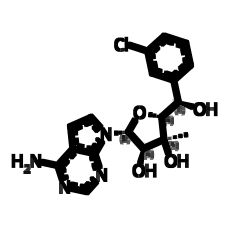 C[C@@]1(O)[C@@H]([C@H](O)c2cccc(Cl)c2)O[C@@H](n2ccc3c(N)ncnc32)[C@@H]1O